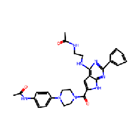 CC(=O)NCCNc1nc(-c2ccccc2)nc2[nH]c(C(=O)N3CCN(c4ccc(NC(C)=O)cc4)CC3)cc12